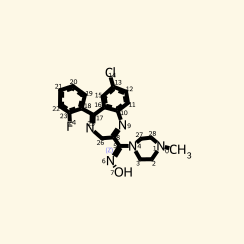 CN1CCN(/C(=N\O)C2=Nc3ccc(Cl)cc3C(c3ccccc3F)=NC2)CC1